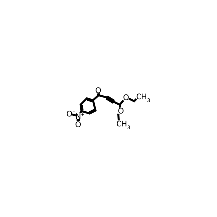 CCOC(C#CC(=O)c1ccc([N+](=O)[O-])cc1)OCC